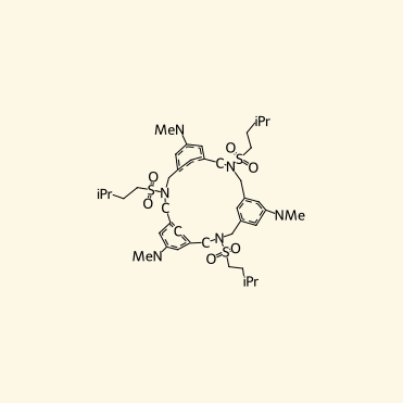 CNc1cc2cc(c1)CN(S(=O)(=O)CCC(C)C)Cc1cc(cc(NC)c1)CN(S(=O)(=O)CCC(C)C)Cc1cc(cc(NC)c1)CN(S(=O)(=O)CCC(C)C)C2